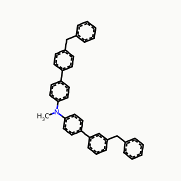 CN(c1ccc(-c2ccc(Cc3ccccc3)cc2)cc1)c1ccc(-c2cccc(Cc3ccccc3)c2)cc1